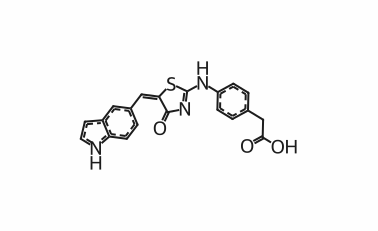 O=C(O)Cc1ccc(NC2=NC(=O)C(=Cc3ccc4[nH]ccc4c3)S2)cc1